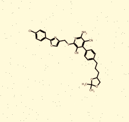 CC1(C)OCC(CCCc2ccc(-c3c(C#N)c(N)nc(SCc4coc(-c5ccc(Cl)cc5)n4)c3C#N)cc2)O1